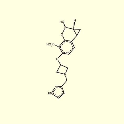 O=C(O)c1c(OC2CN(Cc3nc[nH]n3)C2)ccc2c1OB(O)[C@@H]1CC21